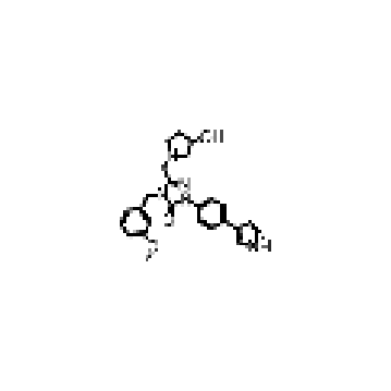 COc1cccc(Cn2c(CN3CCC(O)C3)nn(-c3ccc(-c4cn[nH]c4)cc3)c2=O)c1